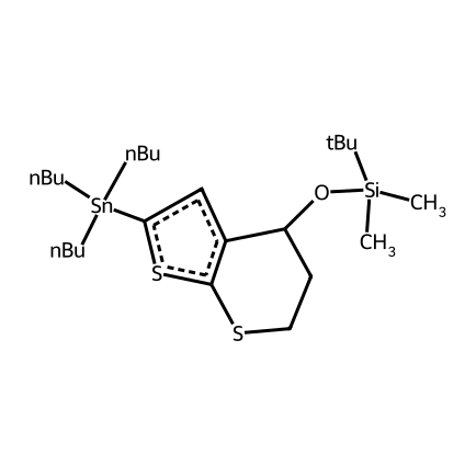 CCC[CH2][Sn]([CH2]CCC)([CH2]CCC)[c]1cc2c(s1)SCCC2O[Si](C)(C)C(C)(C)C